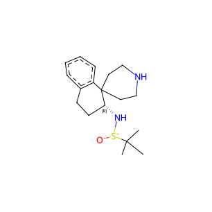 CC(C)(C)[S+]([O-])N[C@@H]1CCc2ccccc2C12CCNCC2